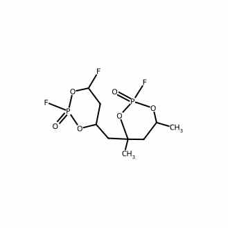 CC1CC(C)(CC2CC(F)OP(=O)(F)O2)OP(=O)(F)O1